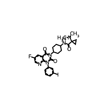 CN(C)C1(C(=O)NC2CCC(n3c(=O)c4cc(F)cnc4n(-c4cccc(I)c4)c3=O)CC2)CC1